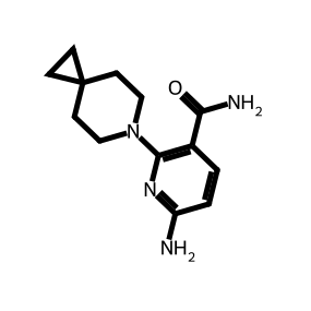 NC(=O)c1ccc(N)nc1N1CCC2(CC1)CC2